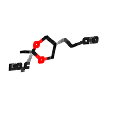 CCOC(=O)[C@]1(C)OC[C@H](CCC=O)CO1